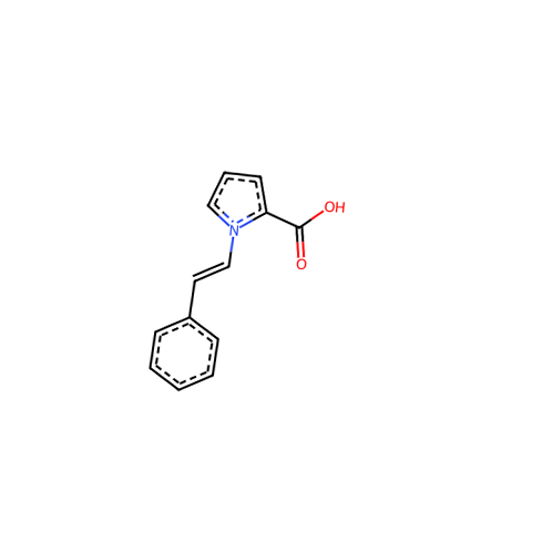 O=C(O)c1cccn1C=Cc1ccccc1